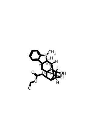 CC[C@H]1C2C[C@H]3[C@@H]4N(C)c5ccccc5[C@]45C[C@@H](C2C5C(=O)OCCl)N3[C@@H]1O